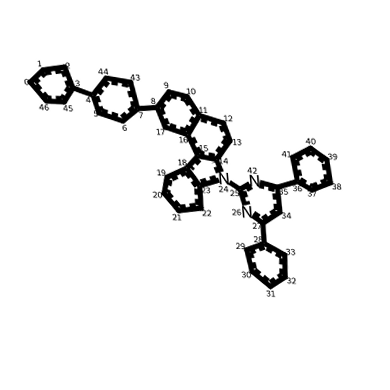 c1ccc(-c2ccc(-c3ccc4ccc5c(c4c3)c3ccccc3n5-c3nc(-c4ccccc4)cc(-c4ccccc4)n3)cc2)cc1